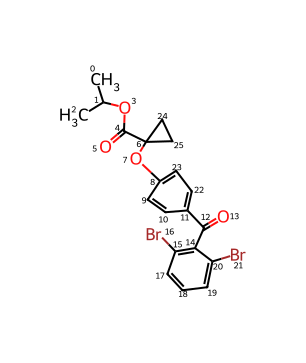 CC(C)OC(=O)C1(Oc2ccc(C(=O)c3c(Br)cccc3Br)cc2)CC1